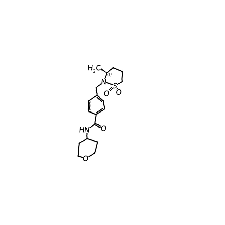 C[C@H]1CCCS(=O)(=O)N1Cc1ccc(C(=O)NC2CCOCC2)cc1